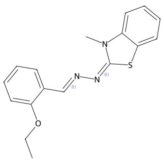 CCOc1ccccc1/C=N/N=c1/sc2ccccc2n1C